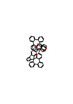 c1ccc(N(c2ccc3c(c2)C2(c4ccccc4-c4ccccc4-3)c3ccccc3-c3cc4oc5ccccc5c4cc32)c2cccc3c2N(c2ccccc2)c2ccccc2-c2ccccc2-3)cc1